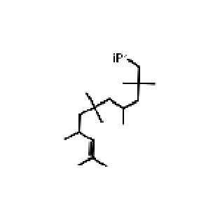 CC(C)=CC(C)CC(C)(C)CC(C)CC(C)(C)CC(C)C